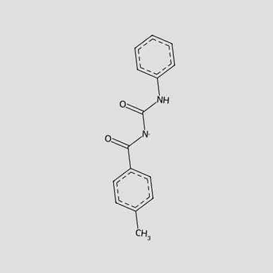 Cc1ccc(C(=O)[N]C(=O)Nc2ccccc2)cc1